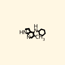 Cc1cnc2[nH]ccc2c1NC1CCCCC1